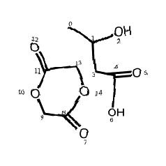 CC(O)CC(=O)O.O=C1COC(=O)CO1